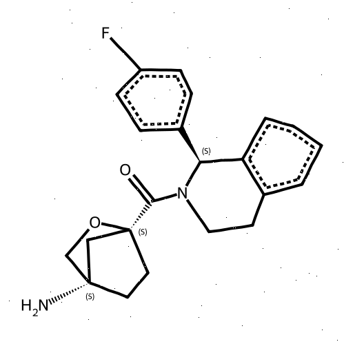 N[C@@]12CC[C@@](C(=O)N3CCc4ccccc4[C@@H]3c3ccc(F)cc3)(C1)OC2